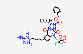 CN1C(=O)CN(CC(NC(=O)OCc2ccccc2)C(=O)O)C(=O)c2cc(CCCCCNC(=N)N)ccc21.O=C(O)C(F)(F)F